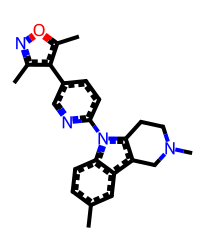 Cc1ccc2c(c1)c1c(n2-c2ccc(-c3c(C)noc3C)cn2)CCN(C)C1